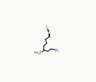 NCCC(CCCC=C=O)C(=O)O